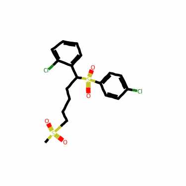 CS(=O)(=O)CCCCC(c1ccccc1Cl)S(=O)(=O)c1ccc(Cl)cc1